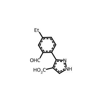 CCc1ccc(-c2n[nH]cc2C(=O)O)c(C=O)c1